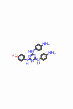 Nc1ccc(Nc2nc(Nc3ccc(N)cc3)nc(Nc3ccc(O)cc3)n2)cc1